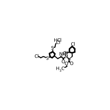 CCOC(=O)[C@H](Cc1ccc(Cl)cc1Cl)NC(=O)[C@@H](N)Cc1cc(SCCCl)cc(SCCCl)c1.Cl